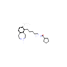 CNc1ccc2c(c1CCCCCNC(=O)C1CCCC1)CCNCC2